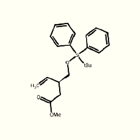 C=C[C@@H](CO[Si](c1ccccc1)(c1ccccc1)C(C)(C)C)CC(=O)OC